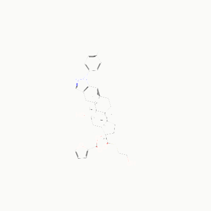 C[C@]12Cc3cnn(-c4ccc(F)cc4)c3C=C1CC[C@@H]1[C@@H]2[C@@H](O)C[C@@]2(C)[C@H]1CC[C@]2(OC(=O)c1ccco1)C(=O)SCCO